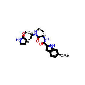 COc1ccc2cc(C(=O)N[C@@H](CC(C)C)C(=O)N[C@H](C#N)C[C@@H]3CCNC3=O)[nH]c2c1